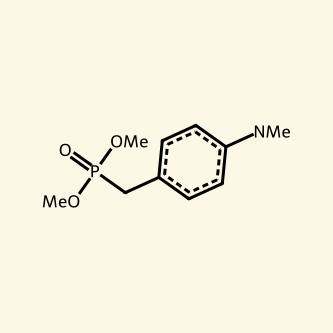 CNc1ccc(CP(=O)(OC)OC)cc1